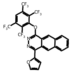 FC(F)(F)c1cc(C(F)(F)F)c(C(F)(F)F)c(Oc2nnc(-c3ccco3)c3cc4ccccc4cc23)c1C(F)(F)F